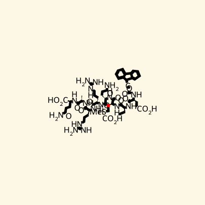 CSCC[C@H](NC(=O)[C@H](CCC(=O)O)NC(=O)[C@H](CCC(=O)O)NC(=O)OCC1c2ccccc2-c2ccccc21)C(=O)N[C@@H](CCC(N)=O)C(=O)N[C@@H](CCCNC(=N)N)C(=O)N[C@@H](CCCNC(=N)N)C(=O)N[C@@H](C)C(=O)N[C@@H](CCC(N)=O)C(=O)O